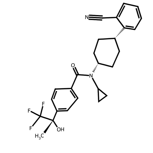 C[C@](O)(c1ccc(C(=O)N(C2CC2)[C@H]2CC[C@@H](c3ccccc3C#N)CC2)cc1)C(F)(F)F